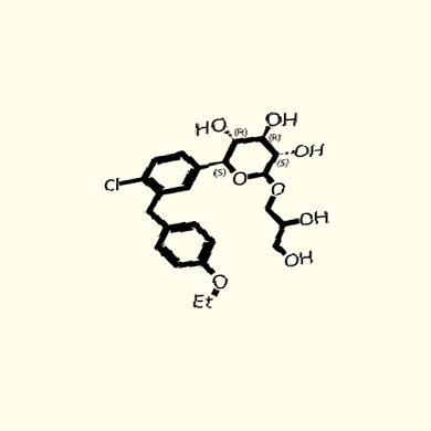 CCOc1ccc(Cc2cc([C@@H]3OC(OCC(O)CO)[C@@H](O)[C@H](O)[C@H]3O)ccc2Cl)cc1